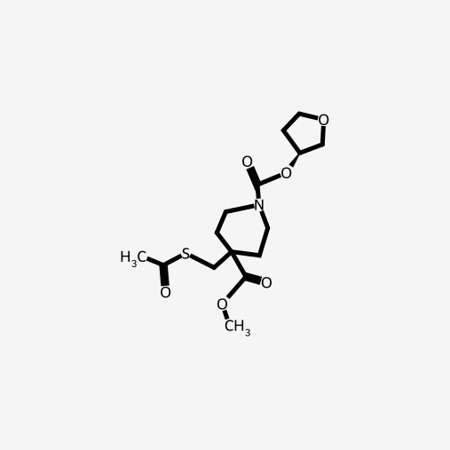 COC(=O)C1(CSC(C)=O)CCN(C(=O)O[C@H]2CCOC2)CC1